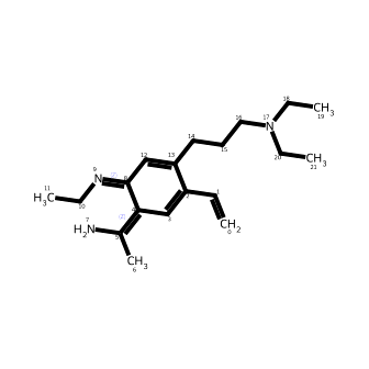 C=CC1=CC(=C(\C)N)/C(=N\CC)C=C1CCCN(CC)CC